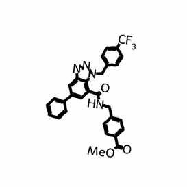 COC(=O)c1ccc(CNC(=O)c2cc(-c3ccccc3)cc3nnn(Cc4ccc(C(F)(F)F)cc4)c23)cc1